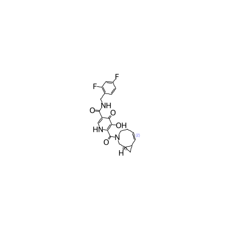 O=C(NCc1ccc(F)cc1F)c1c[nH]c(C(=O)N2CC/C=C\C3C[C@H]3C2)c(O)c1=O